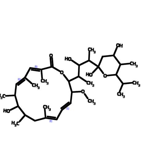 COC1/C=C/C=C(\C)CC(C)C(O)C(C)/C=C(C)/C=C(\C)C(=O)OC1C(C)C(O)C(C)C1(O)CC(O)C(C)C(C(C)C)O1